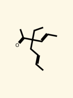 CC=CCC(C=CC)(CC)C(C)=O